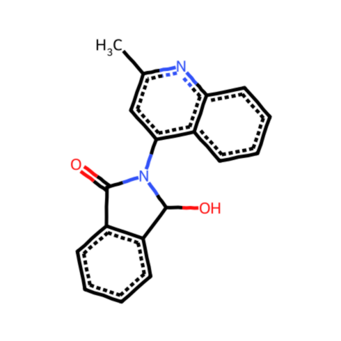 Cc1cc(N2C(=O)c3ccccc3C2O)c2ccccc2n1